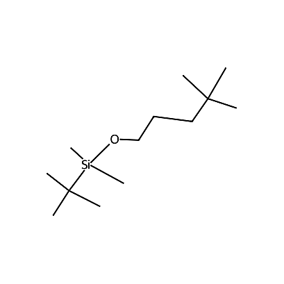 CC(C)(C)CCCO[Si](C)(C)C(C)(C)C